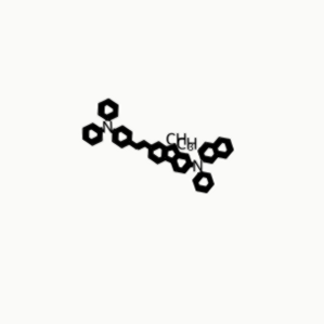 CC1(C)c2cc(/C=C/c3ccc(N(c4ccccc4)c4ccccc4)cc3)ccc2-c2ccc(N(C3=CC=CCC3)c3ccc4ccccc4c3)cc21